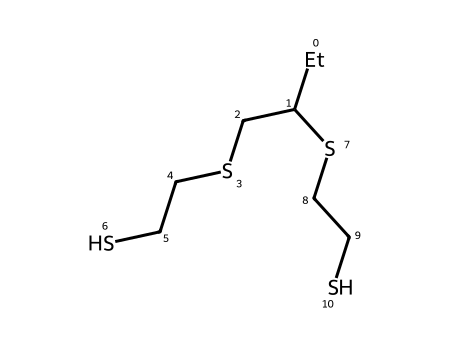 CCC(CSCCS)SCCS